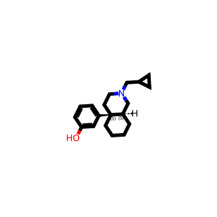 Oc1cccc([C@]23CCCC[C@@H]2CN(CC2CC2)CC3)c1